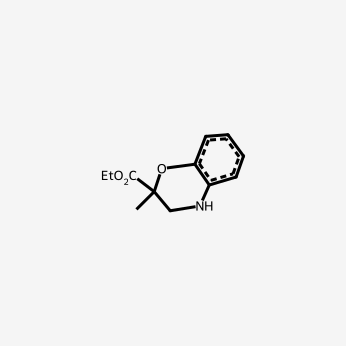 CCOC(=O)C1(C)CNc2ccccc2O1